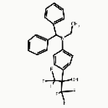 CCN(c1ccc(C(O)(C(F)(F)F)C(F)(F)F)cc1)C(c1ccccc1)c1ccccc1